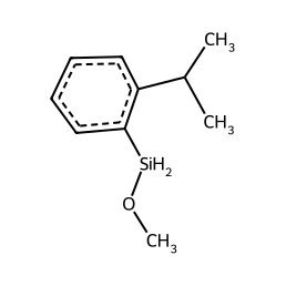 CO[SiH2]c1ccccc1C(C)C